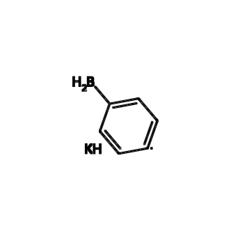 Bc1cc[c]cc1.[KH]